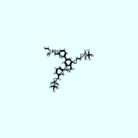 CC[S+]([O-])NCc1cccc(-c2cc(OCCO[Si](C)(C)C(C)(C)C)c3cnn(-c4cccc(CO[Si](C)(C)C(C)(C)C)n4)c3c2)n1